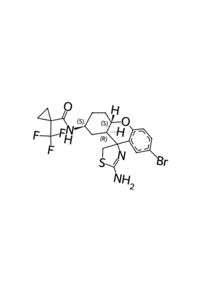 NC1=NC2(CS1)c1cc(Br)ccc1O[C@H]1CC[C@H](NC(=O)C3(C(F)(F)F)CC3)C[C@@H]12